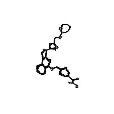 CCNC(=O)c1ccc(COc2nn3c(-c4cc(COC5CCCCO5)on4)nnc3c3ccccc23)nc1